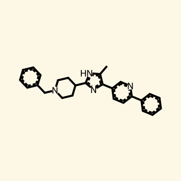 Cc1[nH]c(C2CCN(Cc3ccccc3)CC2)nc1-c1ccc(-c2ccccc2)nc1